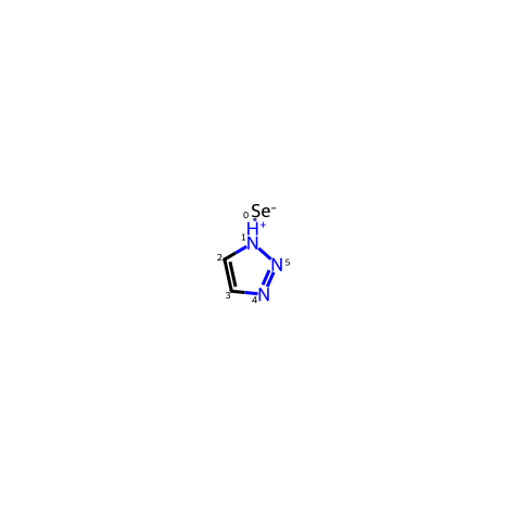 [Se-][NH+]1C=CN=N1